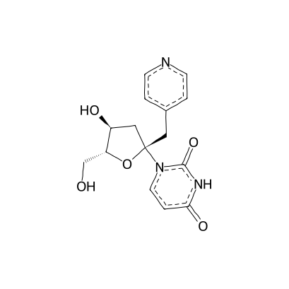 O=c1ccn([C@@]2(Cc3ccncc3)C[C@H](O)[C@@H](CO)O2)c(=O)[nH]1